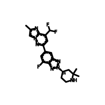 Cc1cn2nc(-c3cc(F)c4nn([C@@H]5CCNC(C)(C)C5)nc4c3)cc(C(F)F)c2n1